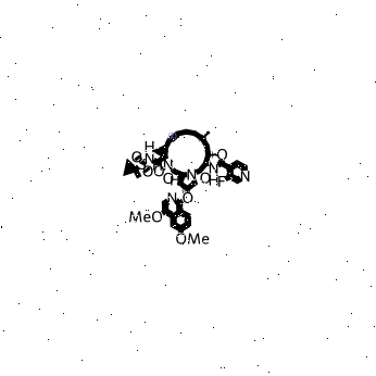 COc1ccc2c(O[C@@H]3C[C@H]4C(=O)NC5(C(=O)NS(=O)(=O)C6(C)CC6)CC5/C=C\CC[C@@H](C)C[C@@H](C)[C@H](NC(=O)c5ccncc5F)C(=O)N4C3)ncc(OC)c2c1